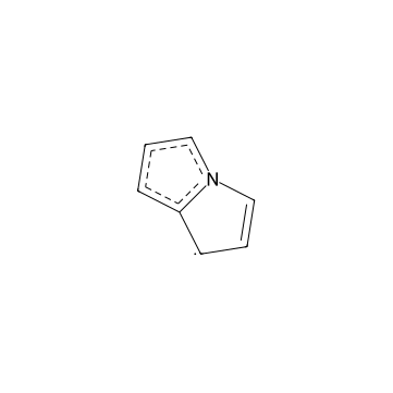 [CH]1C=Cn2cccc21